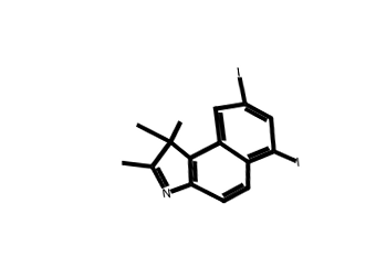 CC1=Nc2ccc3c(I)cc(I)cc3c2C1(C)C